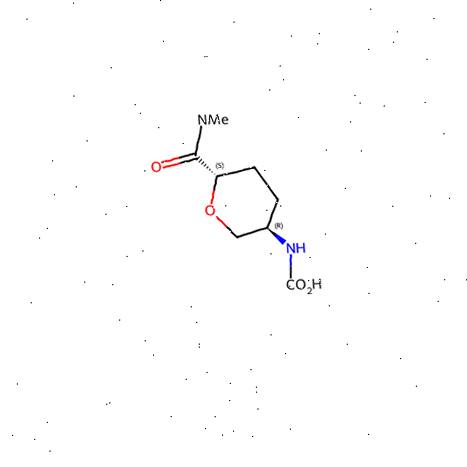 CNC(=O)[C@@H]1CC[C@@H](NC(=O)O)CO1